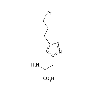 CC(C)CCCn1cc(CC(N)C(=O)O)nn1